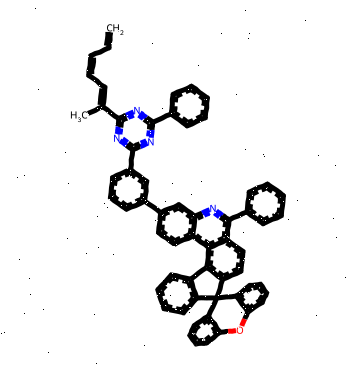 C=C/C=C\C=C(/C)c1nc(-c2ccccc2)nc(-c2cccc(-c3ccc4c(c3)nc(-c3ccccc3)c3ccc5c(c34)-c3ccccc3C53c4ccccc4Oc4ccccc43)c2)n1